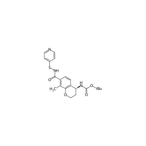 Cc1c(C(=O)NSc2ccncc2)ccc2c1OCC[C@@H]2NC(=O)OC(C)(C)C